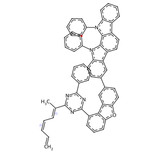 C=C/C=C\C=C(/C)c1nc(-c2ccccc2)nc(-c2cccc3oc4ccc(-c5ccc6c(c5)c5ccc7c8ccccc8n(-c8ccccc8)c7c5n6-c5ccccc5)cc4c23)n1